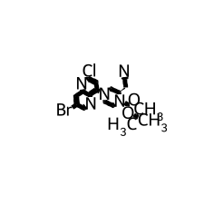 CC(C)(C)OC(=O)N1CCN(c2cc(Cl)nc3cc(Br)cnc23)C[C@@H]1CC#N